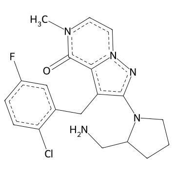 Cn1ccn2nc(N3CCCC3CN)c(Cc3cc(F)ccc3Cl)c2c1=O